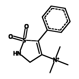 C[N+](C)(C)C1=C(c2ccccc2)S(=O)(=O)NC1